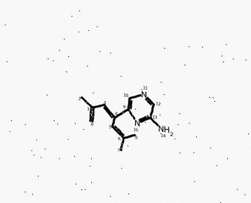 C=C(C)/C=C(\C=C(C)C)c1cncc(N)n1